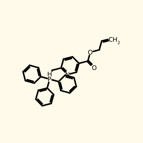 C=CCOC(=O)c1ccc(C[PH](c2ccccc2)(c2ccccc2)c2ccccc2)nc1